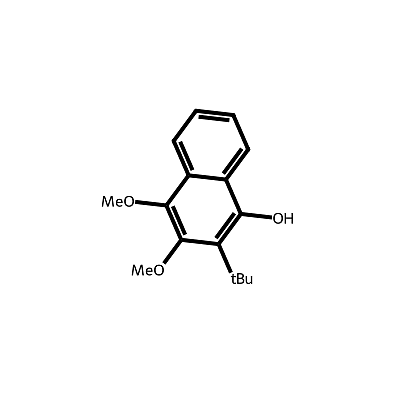 COc1c(C(C)(C)C)c(O)c2ccccc2c1OC